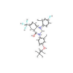 Cc1cc(O[Si](C)(C)C(C)(C)C)ccc1N1CN(c2ccc(F)cc2C)C2=CC=C(C(F)(F)F)CC2C1=O